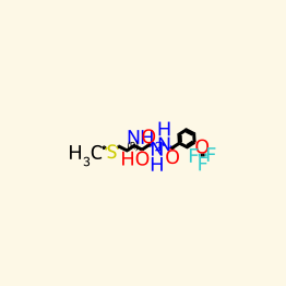 CCSCC[C@@H](N)C(O)C(=O)NNC(=O)c1cccc(OC(F)(F)F)c1